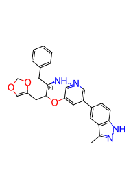 Cc1n[nH]c2ccc(-c3cncc(OC(CC4=COCO4)[C@H](N)Cc4ccccc4)c3)cc12